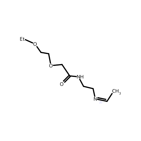 C/C=N\CCNC(=O)COCCOCC